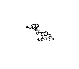 CN(C)CCN(Cc1ccc(OC(F)(F)F)cc1)C(=O)CNc1cccc2c1CN(CC1CC1)CC2